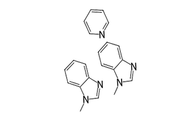 Cn1cnc2ccccc21.Cn1cnc2ccccc21.c1ccncc1